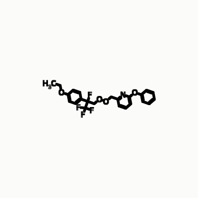 CCOc1ccc(C(F)(COOCc2cccc(Oc3ccccc3)n2)C(F)(F)F)cc1